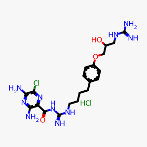 Cl.N=C(N)NCC(O)COc1ccc(CCCCNC(=N)NC(=O)c2nc(Cl)c(N)nc2N)cc1